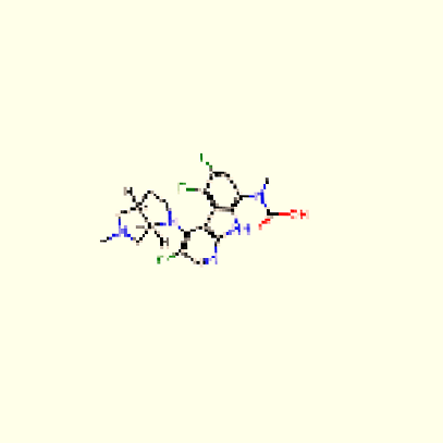 CN1C[C@@H]2CCN(c3c(Cl)cnc4[nH]c5c(N(C)C(=O)O)cc(F)c(F)c5c34)[C@@H]2C1